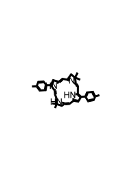 Cc1ccc(-c2cc3[nH]c2/C=C2N=C(/C=c4/cc(-c5ccc(C)cc5)/c([nH]4)=C/C4N/C(=C\3)CC4(C)C)CC\2(C)C)cc1